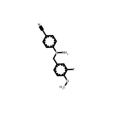 COc1ccc(CN(N)c2ccc(C#N)cc2)cc1F